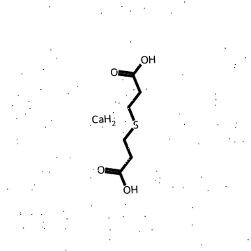 O=C(O)CCSCCC(=O)O.[CaH2]